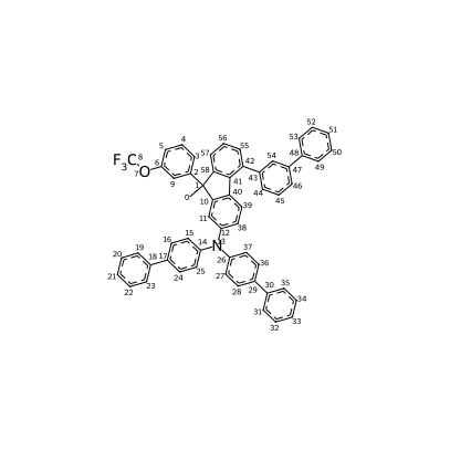 CC1(c2cccc(OC(F)(F)F)c2)c2cc(N(c3ccc(-c4ccccc4)cc3)c3ccc(-c4ccccc4)cc3)ccc2-c2c(-c3cccc(-c4ccccc4)c3)cccc21